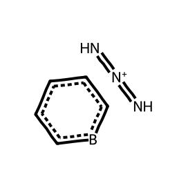 N=[N+]=N.b1ccccc1